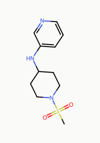 CS(=O)(=O)N1CCC(Nc2cccnc2)CC1